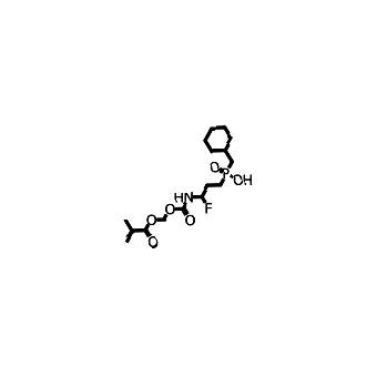 CC(C)C(=O)OCOC(=O)NC(F)CCP(=O)(O)CC1CCCCC1